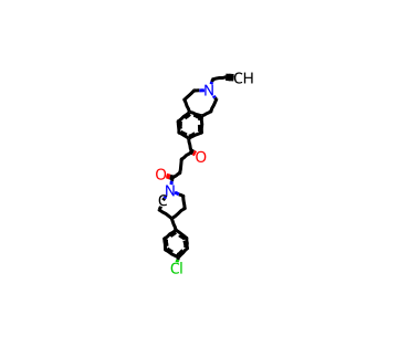 C#CCN1CCc2ccc(C(=O)CCC(=O)N3CCC(c4ccc(Cl)cc4)CC3)cc2CC1